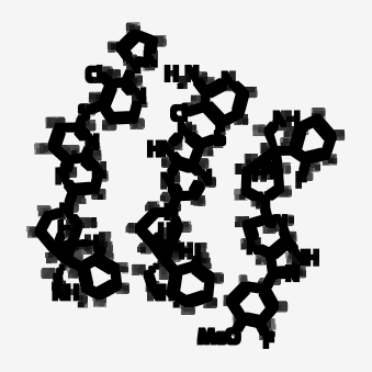 COc1ccc(-c2n[nH]c3nc(N4CC[C@@H]5[C@H](C4)[C@@]5(CN)c4ccccc4F)cnc23)cc1F.NC[C@]1(c2ccccc2F)[C@@H]2CCN(c3cnc4c(Sc5ccnc(N)c5Cl)n[nH]c4n3)C[C@@H]21.NC[C@]1(c2ccccc2F)[C@@H]2CCN(c3cnc4nc(Sc5ccnc(-n6cccn6)c5Cl)ccc4n3)C[C@@H]21